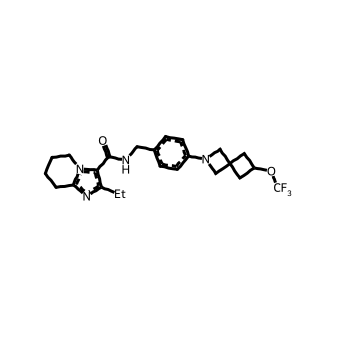 CCc1nc2n(c1C(=O)NCc1ccc(N3CC4(CC(OC(F)(F)F)C4)C3)cc1)CCCC2